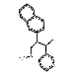 CNC[C@@H](c1ccc2ccccc2c1)[C@@H](O)c1cccnc1